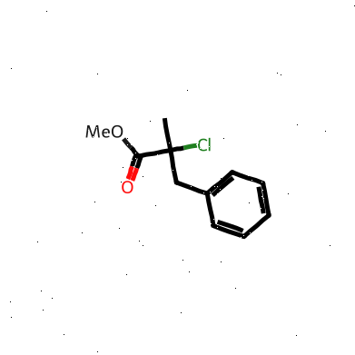 COC(=O)C(C)(Cl)Cc1ccccc1